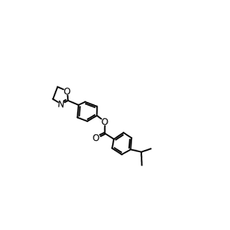 CC(C)c1ccc(C(=O)Oc2ccc(C3=NCCO3)cc2)cc1